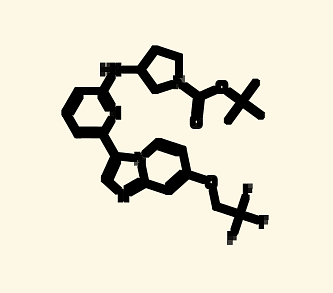 CC(C)(C)OC(=O)N1CCC(Nc2cccc(-c3cnc4cc(OCC(F)(F)F)ccn34)n2)C1